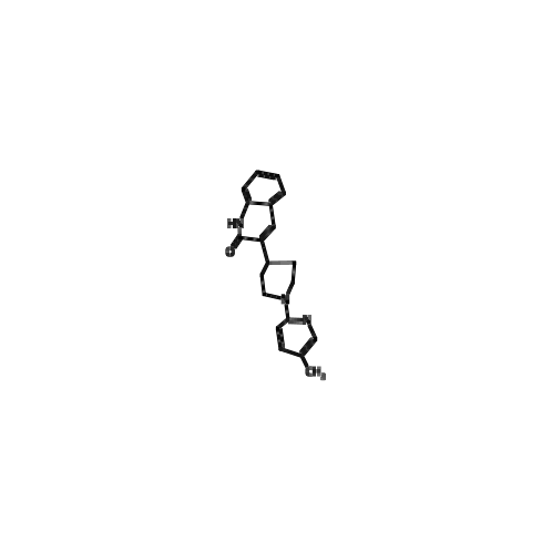 Cc1ccc(N2CCC(c3cc4ccccc4[nH]c3=O)CC2)nc1